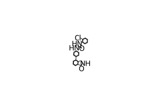 O=C(Nc1ccc(-c2cccc3c2CNC3=O)cc1)Nc1ccccc1Cl